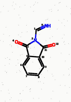 N=CN1C(=O)c2ccccc2C1=O